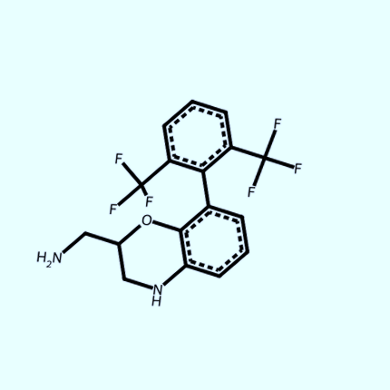 NCC1CNc2cccc(-c3c(C(F)(F)F)cccc3C(F)(F)F)c2O1